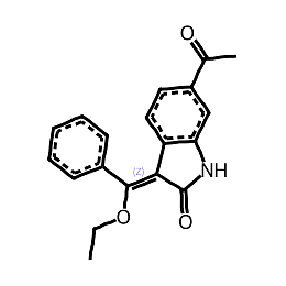 CCO/C(=C1\C(=O)Nc2cc(C(C)=O)ccc21)c1ccccc1